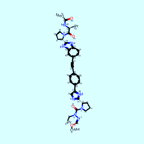 COO/C=N\N(CC(C)C)C(=O)N1CCC[C@H]1c1ncc(-c2ccc(C#Cc3ccc4nc([C@@H]5CCCN5C(=O)[C@@H](NC(=O)OC)C(C)C)[nH]c4c3)cc2)[nH]1